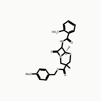 COc1ccc(COC(=O)C2(C)CS[C@@H]3C(NC(=O)c4ccccc4C(=O)O)C(=O)N3C2)cc1